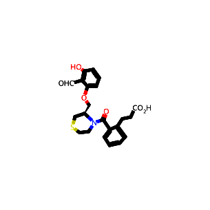 O=Cc1c(O)cccc1OC[C@@H]1CSCCN1C(=O)c1ccccc1CCC(=O)O